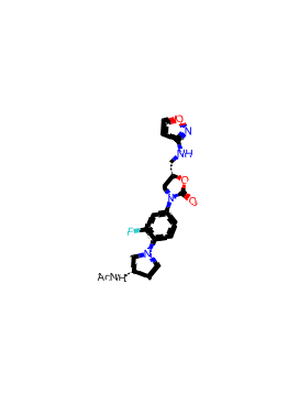 CC(=O)N[C@H]1CCN(c2ccc(N3C[C@H](CNc4ccon4)OC3=O)cc2F)C1